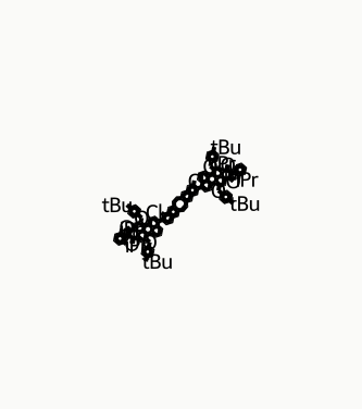 CC(C)c1cccc(C(C)C)c1N1C(=O)C2=CC(Oc3ccc(C(C)(C)C)cc3)=C3C4=CC=CC5C(c6cc7cc8c(cc7cc6Cl)CCc6cc7c(Cl)c(C9=CC=C%10C%11=C(Oc%12ccc(C(C)(C)C)cc%12)C=C%12C(=O)N(c%13c(C(C)C)cccc%13C(C)C)C(=O)C%13=CC(Oc%14ccc(C(C)(C)C)cc%14)=C(C%14=CC=CC9C%14%10)C%11C%13%12)ccc7cc6/C=C\8)=CC=C(C6=C(Oc7ccc(C(C)(C)C)cc7)C=C(C1=O)C2C36)C45